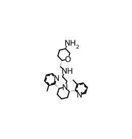 Cc1cccnc1[C@H]1CCC[C@@H](c2ncccc2C)N1CCNC[C@@H]1CC[C@@H](N)CO1